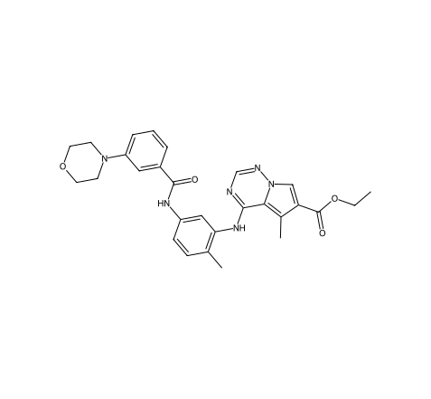 CCOC(=O)c1cn2ncnc(Nc3cc(NC(=O)c4cccc(N5CCOCC5)c4)ccc3C)c2c1C